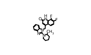 CC1CCCCN1c1nc2ccccc2n1Cc1cc(=O)[nH]c2c(F)c(F)ccc12